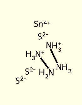 N[NH3+].N[NH3+].[S-2].[S-2].[S-2].[Sn+4]